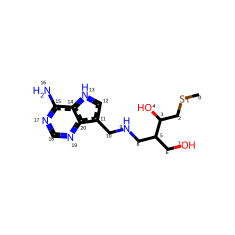 CSCC(O)C(CO)CNCc1c[nH]c2c(N)ncnc12